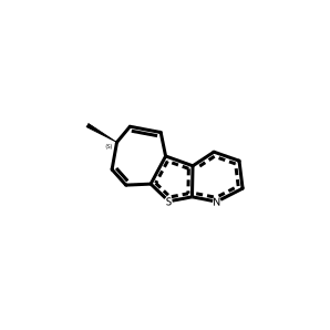 C[C@@H]1C=Cc2sc3ncccc3c2C=C1